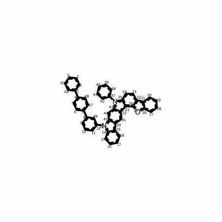 c1ccc(-c2ccc(-c3cccc(-n4c5ccccc5c5cc6c7c8oc9ccccc9c8ccc7n(-c7ccccc7)c6cc54)c3)cc2)cc1